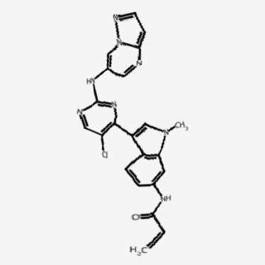 C=CC(=O)Nc1ccc2c(-c3nc(Nc4cnc5ccnn5c4)ncc3Cl)cn(C)c2c1